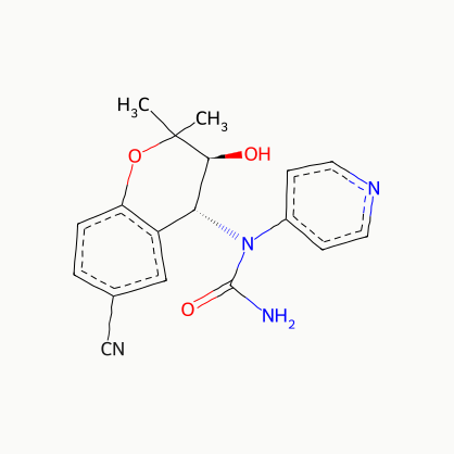 CC1(C)Oc2ccc(C#N)cc2[C@@H](N(C(N)=O)c2ccncc2)[C@@H]1O